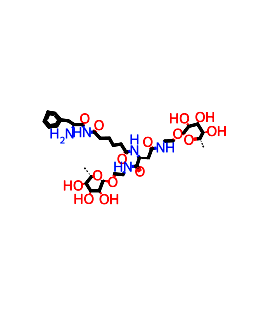 C[C@@H]1O[C@@H](OCCNC(=O)C[C@H](NC(=O)CCCCC(=O)NC(=O)[C@@H](N)Cc2ccccc2)C(=O)NCCO[C@@H]2O[C@@H](C)[C@@H](O)[C@@H](O)[C@@H]2O)[C@@H](O)[C@H](O)[C@@H]1O